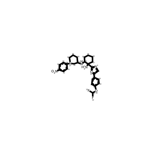 NC1(c2ncc(-c3ccc(OC(F)F)cc3)o2)CCCCC1NC1CCCN(c2ccc([N+](=O)[O-])cc2)C1